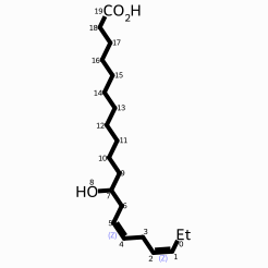 CC/C=C\C/C=C\CC(O)CCCCCCCCCCC(=O)O